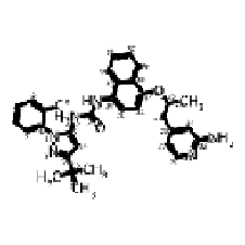 Cc1ccccc1-n1nc(C(C)(C)C)cc1NC(=O)Nc1ccc(OC(C)Cc2ccnc(N)c2)c2ccccc12